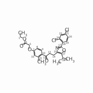 CCOC(=O)COc1ccc(C(=O)CCc2nc(-c3ccc(Cl)cc3Cl)oc2C(C)C)c(C)c1